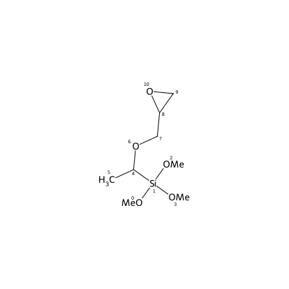 CO[Si](OC)(OC)C(C)OCC1CO1